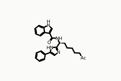 CC(=O)CCCCC[C@H](NC(=O)c1c[nH]c2ccccc12)c1ncc(-c2ccccc2)[nH]1